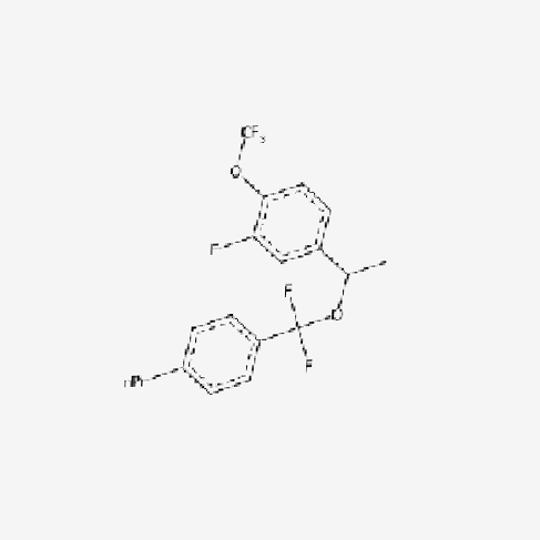 CCCc1ccc(C(F)(F)OC(C)c2ccc(OC(F)(F)F)c(F)c2)cc1